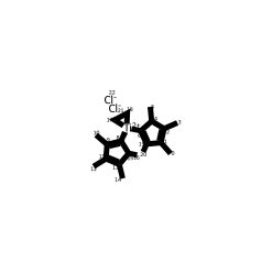 CC1=C(C)C(C)[C]([Ti+2]2([C]3=C(C)C(C)=C(C)C3C)[CH2][CH2]2)=C1C.[Cl-].[Cl-]